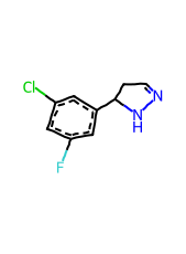 Fc1cc(Cl)cc(C2CC=NN2)c1